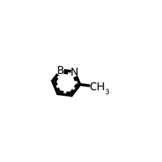 Cc1cccbn1